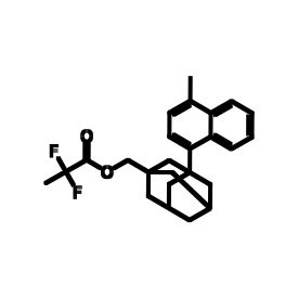 Cc1ccc(C23CC4CC(CC(COC(=O)C(C)(F)F)(C4)C2)C3)c2ccccc12